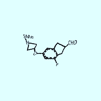 CSN1CC(Oc2cc(F)c3c(c2)CC(C=O)C3)C1